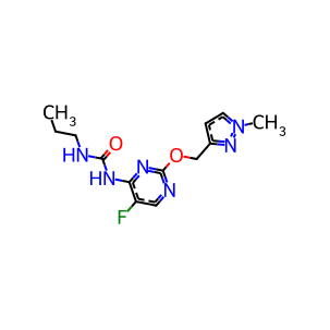 CCCNC(=O)Nc1nc(OCc2ccn(C)n2)ncc1F